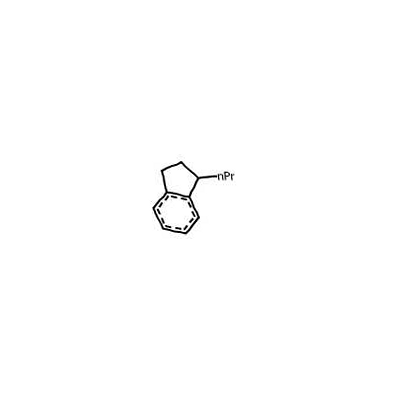 CCCC1CCc2ccccc21